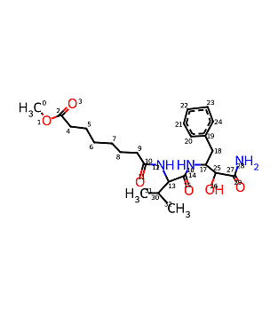 COC(=O)CCCCCCC(=O)NC(C(=O)NC(Cc1ccccc1)C(O)C(N)=O)C(C)C